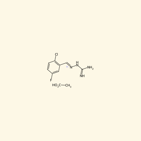 CC(=O)O.N=C(N)N/N=C/c1cc(F)ccc1Cl